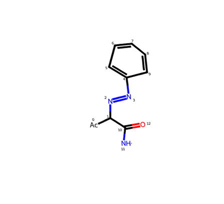 CC(=O)C(N=Nc1ccccc1)C([NH])=O